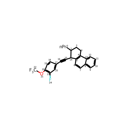 CCCC1CCc2c(ccc3ccccc23)C1C#Cc1ccc(OC(F)(F)F)c(F)c1